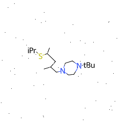 CC(CC(C)SC(C)C)CN1CCN(C(C)(C)C)CC1